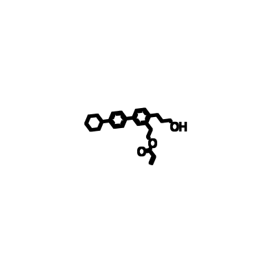 C=CC(=O)OCCc1cc(-c2ccc(C3CCCCC3)cc2)ccc1CCCO